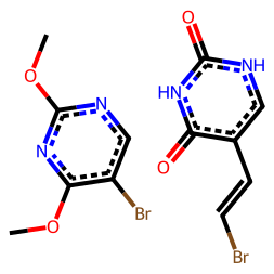 COc1ncc(Br)c(OC)n1.O=c1[nH]cc(C=CBr)c(=O)[nH]1